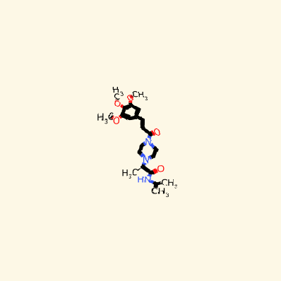 COc1cc(C=CC(=O)N2CCN([C@@H](C)C(=O)NC(C)C)CC2)cc(OC)c1OC